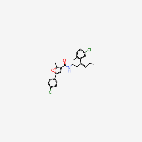 CC/C=C(/CCNC(=O)c1cc(-c2ccc(Cl)cc2)oc1C)c1cc(Cl)ccc1C